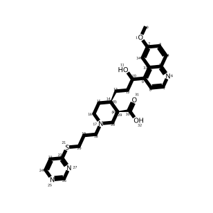 COc1ccc2nccc(C(O)CC[C@@H]3CCN(CCCSc4ccncn4)C[C@@H]3C(=O)O)c2c1